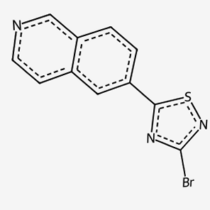 Brc1nsc(-c2ccc3cnccc3c2)n1